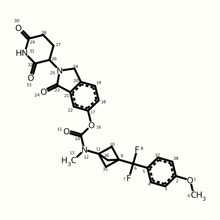 COc1ccc(C(F)(F)C23CC(N(C)C(=O)Oc4ccc5c(c4)C(=O)N(C4CCC(=O)NC4=O)C5)(C2)C3)cc1